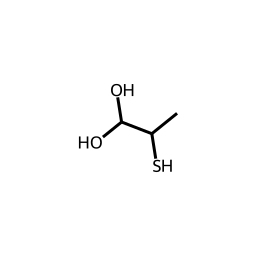 CC(S)C(O)O